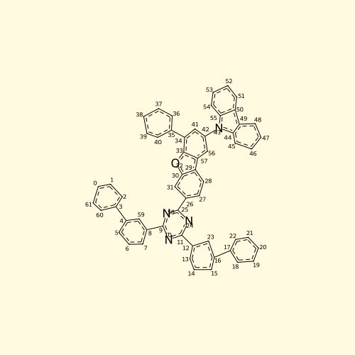 c1ccc(-c2cccc(-c3nc(-c4cccc(-c5ccccc5)c4)nc(-c4ccc5c(c4)oc4c(-c6ccccc6)cc(-n6c7ccccc7c7ccccc76)cc45)n3)c2)cc1